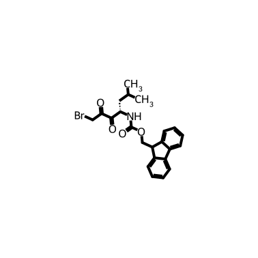 CC(C)C[C@H](NC(=O)OCC1c2ccccc2-c2ccccc21)C(=O)C(=O)CBr